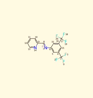 FC(F)(F)c1cc(/N=C/c2ccccn2)cc(C(F)(F)F)c1